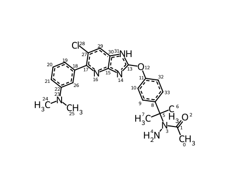 CC(=O)N(N)C(C)(C)c1ccc(Oc2nc3nc(-c4cccc(N(C)C)c4)c(Cl)cc3[nH]2)cc1